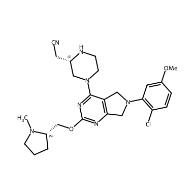 COc1ccc(Cl)c(N2Cc3nc(OC[C@@H]4CCCN4C)nc(N4CCN[C@@H](CC#N)C4)c3C2)c1